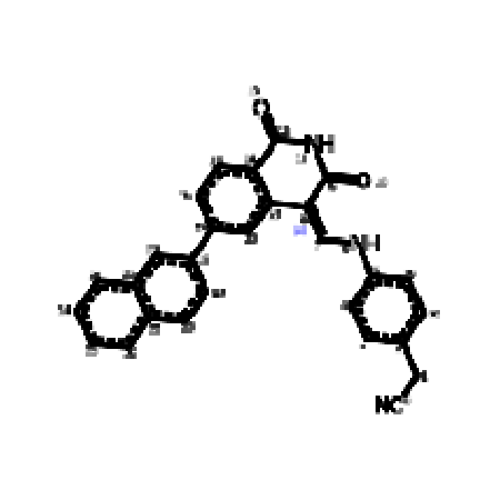 N#CCc1ccc(N/C=C2\C(=O)NC(=O)c3ccc(-c4ccc5ccccc5c4)cc32)cc1